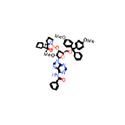 COc1ccc(C(OC[C@H]2O[C@@H](n3cnc4c(NC(=O)c5ccccc5)ncnc43)[C@H](OC)[C@@H]2OP2O[C@](C)(C3CCCC3)[C@@H]3CCCN32)(c2ccccc2)c2ccc(OC)cc2)cc1